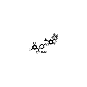 COC(=O)C(c1cc(Cl)cc(Cl)c1)N1CCC(COc2cc(F)c(C(=O)NS(C)(=O)=O)cc2C2CC2)CC1